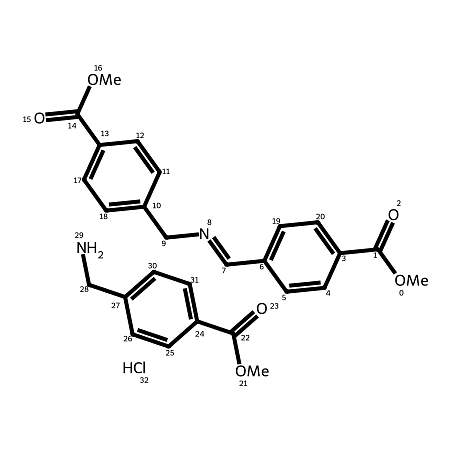 COC(=O)c1ccc(C=NCc2ccc(C(=O)OC)cc2)cc1.COC(=O)c1ccc(CN)cc1.Cl